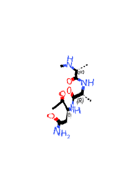 CN[C@H](C)C(=O)N[C@H](C)C(=O)N[C@@H](CC(N)=O)C(C)=O